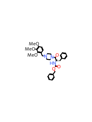 COc1ccc(CN2CCN(C(=O)[C@H](Cc3ccccc3)NC(=O)OCc3ccccc3)CC2)c(OC)c1OC